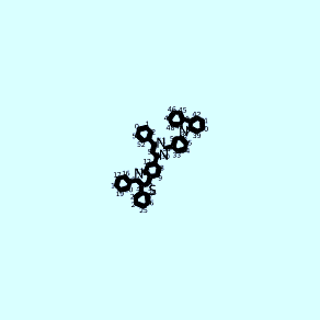 c1ccc(-c2cc(-c3ccc4c(c3)nc(-c3ccccc3)c3c5ccccc5sc43)nc(-c3cccc(-n4c5ccccc5c5ccccc54)c3)n2)cc1